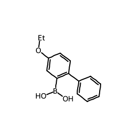 CCOc1ccc(-c2ccccc2)c(B(O)O)c1